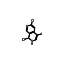 Clc1cc2c(cn1)C(Cl)NC=C2I